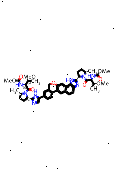 COC(=O)NC(C(=O)N1[C@@H](C)CC[C@H]1c1nc2ccc3cc4c(cc3c2[nH]1)OCc1cc(-c2cnc([C@@H]3CC[C@H](C)N3C(=O)[C@@H](NC(=O)OC)[C@H](C)OC)[nH]2)ccc1-4)[C@H](C)OC